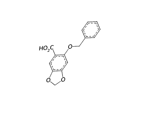 O=C(O)c1cc2c(cc1OCc1ccccc1)OCO2